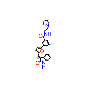 O=C1Nc2ccccc2/C1=C\c1ccc(-c2cc(F)cc(C(=O)NCCN3CCCC3)c2)o1